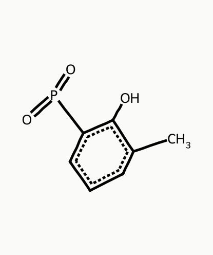 Cc1cccc(P(=O)=O)c1O